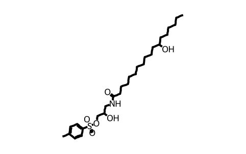 CCCCCCC(O)CCCCCCCCCCC(=O)NCC(O)COS(=O)(=O)c1ccc(C)cc1